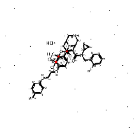 CC(C)(OC(=O)N1C2CNCC1C(C(=O)N(Cc1ccccc1F)C1CC1)=C(c1ccc(OCCOc3ccc(Br)cc3)cc1)C2)C(Cl)(Cl)Cl.Cl